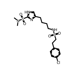 CN(C)S(=O)(=O)c1nc(CCCCNS(=O)(=O)CCc2ccc(Cl)cc2)c[nH]1